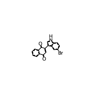 O=C1C=C(c2c[nH]c3ccc(Br)cc23)C(=O)c2ccccc21